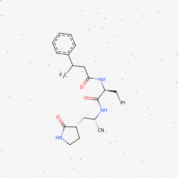 CC(C)C[C@H](NC(=O)CC(c1ccccc1)C(F)(F)F)C(=O)N[C@H](C#N)C[C@@H]1CCNC1=O